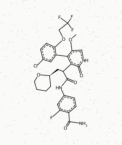 COc1c[nH]c(=O)c(C(C[C@H]2CCCCO2)C(=O)Nc2ccc(C(N)=O)c(F)c2)c1-c1cc(Cl)ccc1OCC(F)(F)F